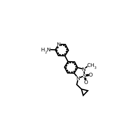 CN1c2cc(-c3ccnc(N)c3)ccc2N(CC2CC2)S1(=O)=O